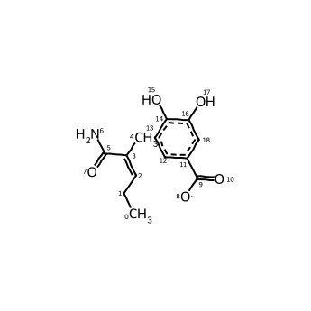 CCC=C(C)C(N)=O.[O]C(=O)c1ccc(O)c(O)c1